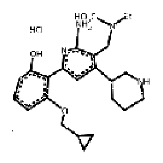 CCN(Cc1c(C2CCCNC2)cc(-c2c(O)cccc2OCC2CC2)nc1N)C(=O)O.Cl